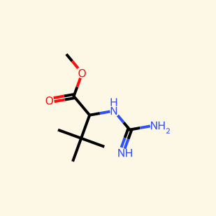 COC(=O)C(NC(=N)N)C(C)(C)C